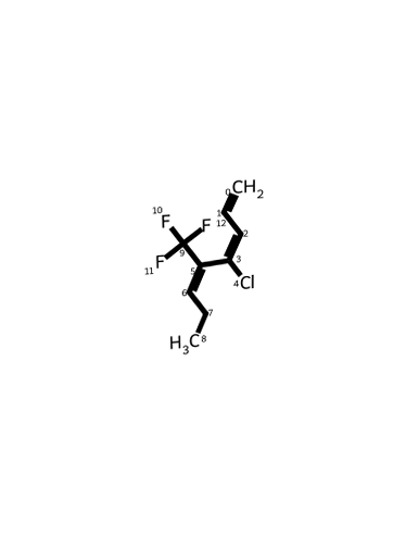 C=C/C=C(Cl)\C(=C/CC)C(F)(F)F